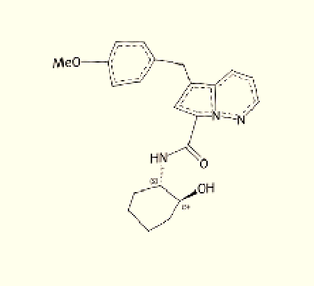 COc1ccc(Cc2cc(C(=O)N[C@H]3CCCC[C@@H]3O)n3ncccc23)cc1